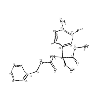 CC(C)OC(=O)[C@](CC(C)(C)C)(NC(=O)OCc1ccccc1)c1ccc(N)c(F)c1